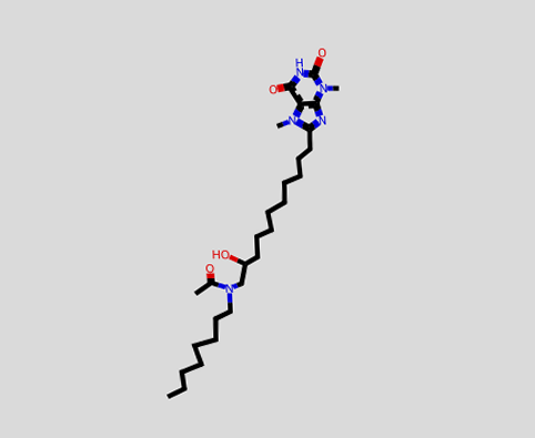 CCCCCCCCN(CC(O)CCCCCCCCCc1nc2c(c(=O)[nH]c(=O)n2C)n1C)C(C)=O